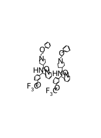 O=C(NC(c1cccc(OC(F)(F)F)c1)c1ccccn1)C1CCN(CCOc2ccccc2)CC1.O=C(NC(c1cccc(OC(F)(F)F)c1)c1ccccn1)C1CCN(CCOc2ccccc2)CC1